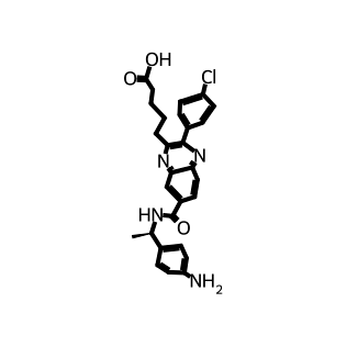 C[C@@H](NC(=O)c1ccc2nc(-c3ccc(Cl)cc3)c(CCCCC(=O)O)nc2c1)c1ccc(N)cc1